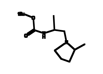 CC(CN1CCCC1C)NC(=O)OC(C)(C)C